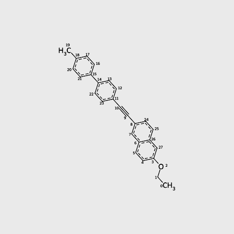 CCOc1ccc2cc(C#Cc3ccc(-c4ccc(C)cc4)cc3)ccc2c1